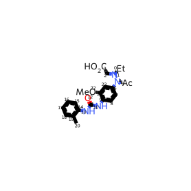 CCN(CC(=O)O)N(C(C)=O)c1ccc(NC(=O)Nc2ccccc2C)c(OC)c1